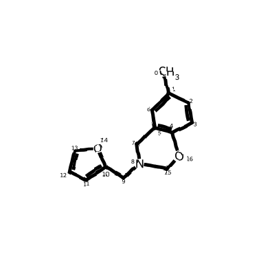 Cc1ccc2c(c1)CN(Cc1ccco1)CO2